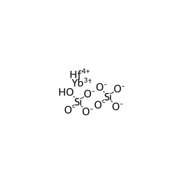 [Hf+4].[O-][Si]([O-])([O-])O.[O-][Si]([O-])([O-])[O-].[Yb+3]